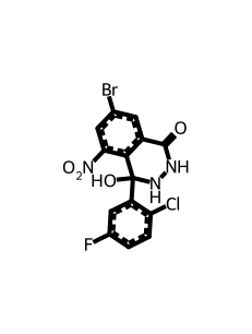 O=C1NNC(O)(c2cc(F)ccc2Cl)c2c1cc(Br)cc2[N+](=O)[O-]